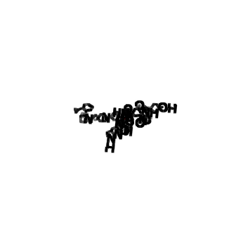 O=C(NS(=O)(=O)c1cc2c(c([N+](=O)[O-])c1)N[C@@H](C1CCC(O)CC1)CO2)c1ccc(N2CCC3(CC2)CC(N2CCC[C@H]2c2ccccc2C2CC2)C3)cc1N1c2cc3cc[nH]c3nc2O[C@@H]2CCOC[C@H]21